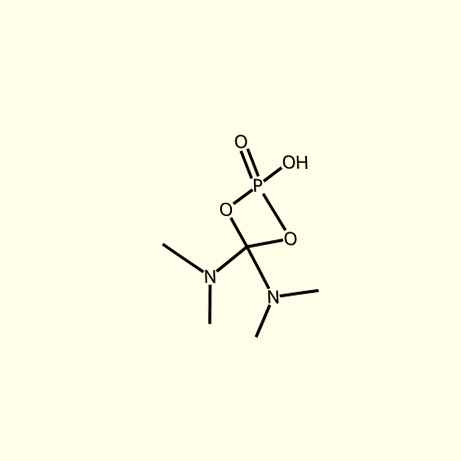 CN(C)C1(N(C)C)OP(=O)(O)O1